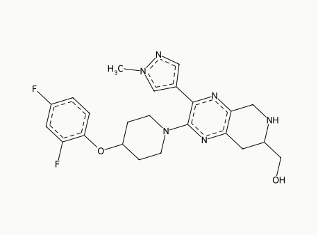 Cn1cc(-c2nc3c(nc2N2CCC(Oc4ccc(F)cc4F)CC2)CC(CO)NC3)cn1